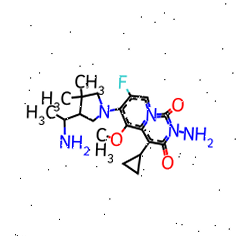 COc1c(N2CC(C(C)N)C(C)(C)C2)c(F)cn2c(=O)n(N)c(=O)c(C3CC3)c12